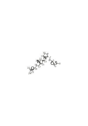 CSC(C)OCCC[C@H]1CCCN1CC1C[C@@H](CCCOC(C)(C)C)N(C)C1